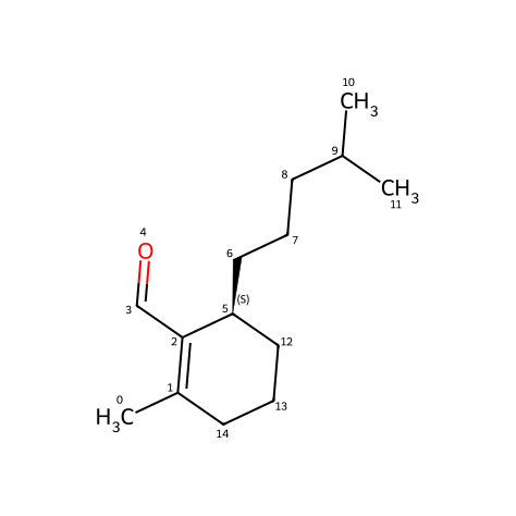 CC1=C(C=O)[C@@H](CCCC(C)C)CCC1